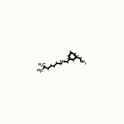 CC(C)CCCCCNCc1cccc(CN)c1